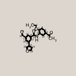 CCOc1ccc(C(C)=O)cc1NC(=O)c1cc(C=O)cc(-c2ccoc2)c1